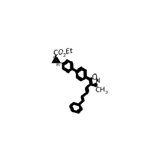 CCOC(=O)[C@@H]1C[C@H]1c1ccc(-c2ccc(-c3onc(C)c3C=CCCc3ccccc3)cc2)cc1